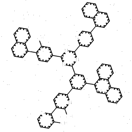 Cc1cc(-c2nc(-c3cc(-c4ccc(-c5ncccc5C)c(C)n4)cc(-c4cc5ccccc5c5ccccc45)c3)nc(-c3ccc(-c4cccc5ccccc45)cn3)n2)ccc1-c1cccc2ccccc12